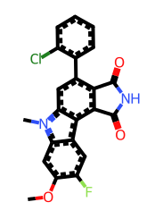 COc1cc2c(cc1F)c1c3c(c(-c4ccccc4Cl)cc1n2C)C(=O)NC3=O